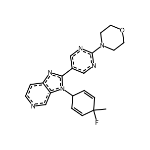 CC1(F)C=CC(n2c(-c3cnc(N4CCOCC4)nc3)nc3ccncc32)C=C1